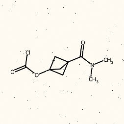 CN(C)C(=O)C12CC(OC(=O)Cl)(C1)C2